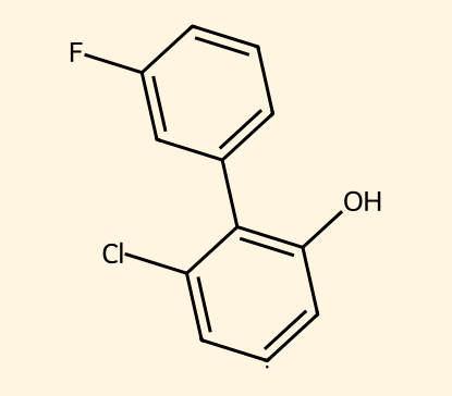 Oc1c[c]cc(Cl)c1-c1cccc(F)c1